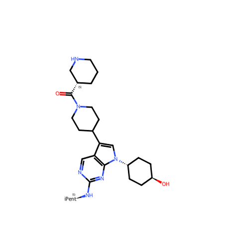 CCC[C@H](C)Nc1ncc2c(C3CCN(C(=O)[C@H]4CCCNC4)CC3)cn([C@H]3CC[C@H](O)CC3)c2n1